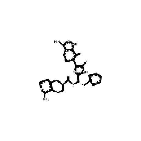 Nc1nccc2c1CCC(C(=O)N[C@@H](Cc1ccccc1)c1nc(-c3ccc4c(N)n[nH]c4c3F)c(Cl)[nH]1)C2